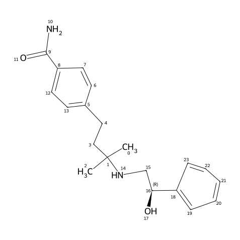 CC(C)(CCc1ccc(C(N)=O)cc1)NC[C@H](O)c1ccccc1